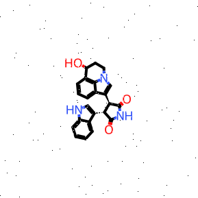 O=C1NC(=O)[C@H](c2cn3c4c(cccc24)C(O)CC3)[C@H]1c1c[nH]c2ccccc12